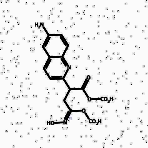 Nc1ccc2nc(C(C/C(=N\O)OC(=O)O)C(=O)OC(=O)O)ccc2c1